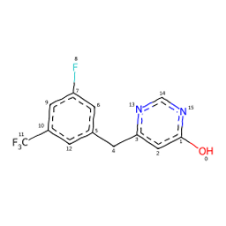 Oc1cc(Cc2cc(F)cc(C(F)(F)F)c2)ncn1